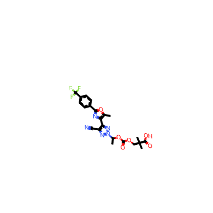 Cc1oc(-c2ccc(C(F)(F)F)cc2)nc1-c1nn(C(C)OC(=O)OCC(C)(C)C(=O)O)nc1C#N